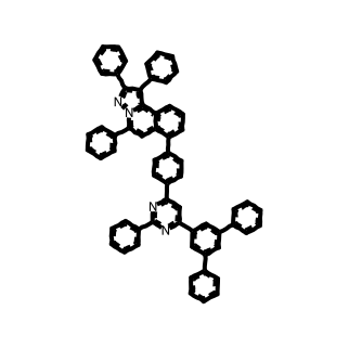 c1ccc(-c2cc(-c3ccccc3)cc(-c3cc(-c4ccc(-c5cccc6c5cc(-c5ccccc5)n5nc(-c7ccccc7)c(-c7ccccc7)c65)cc4)nc(-c4ccccc4)n3)c2)cc1